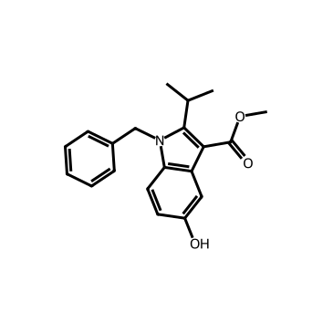 COC(=O)c1c(C(C)C)n(Cc2ccccc2)c2ccc(O)cc12